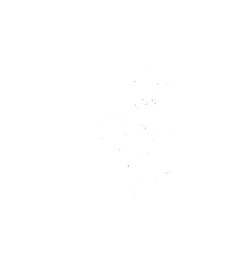 COc1cc(C)c2c(c1)C1(CCCCC1)N(/C=N/C(C)(C)C)C2C